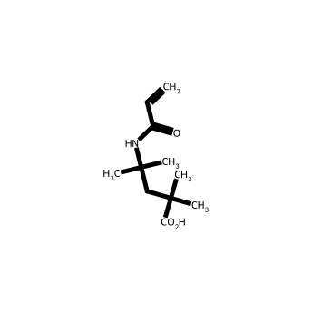 C=CC(=O)NC(C)(C)CC(C)(C)C(=O)O